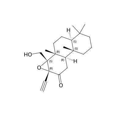 C#C[C@@]12O[C@]1(CO)[C@]1(C)CC[C@H]3C(C)(C)CCC[C@]3(C)[C@H]1CC2=O